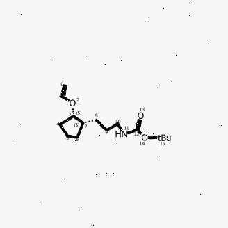 C=CO[C@H]1CCC[C@H]1CCCNC(=O)OC(C)(C)C